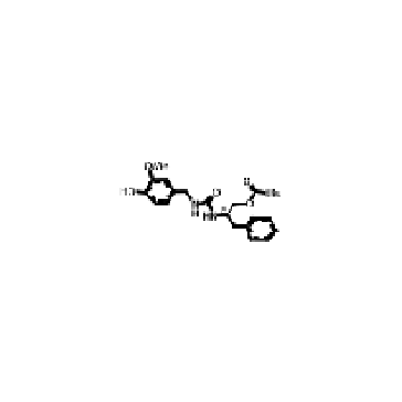 COc1cc(CNC(=O)N[C@@H](COC(=O)C(C)(C)C)Cc2ccccc2)ccc1O